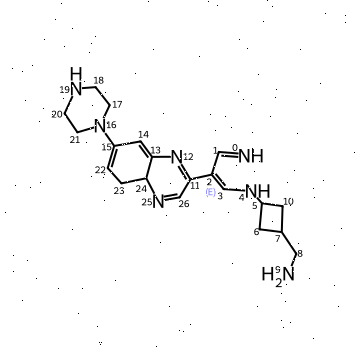 N=C/C(=C\NC1CC(CN)C1)C1=NC2=CC(N3CCNCC3)=CCC2N=C1